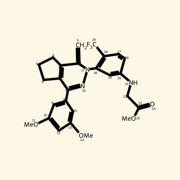 C=C1C2=C(CCC2)C(c2cc(OC)cc(OC)c2)=NN1c1cc(NCC(=O)OC)ccc1C(F)(F)F